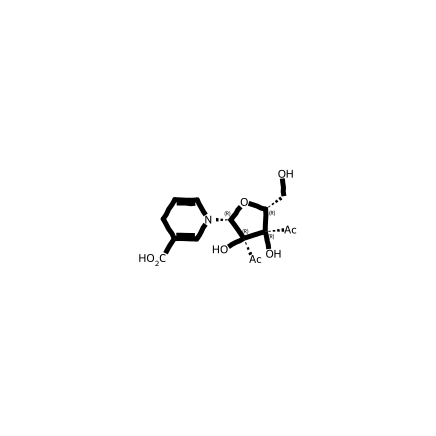 CC(=O)[C@@]1(O)[C@@H](CO)O[C@@H](N2C=CCC(C(=O)O)=C2)[C@@]1(O)C(C)=O